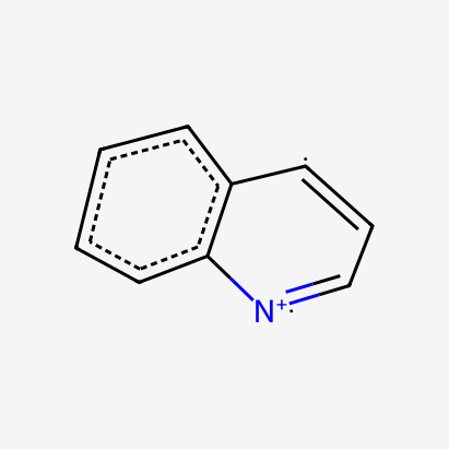 [C]1=CC=[N+]c2ccccc21